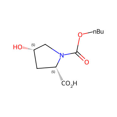 CCCCOC(=O)N1C[C@@H](O)C[C@H]1C(=O)O